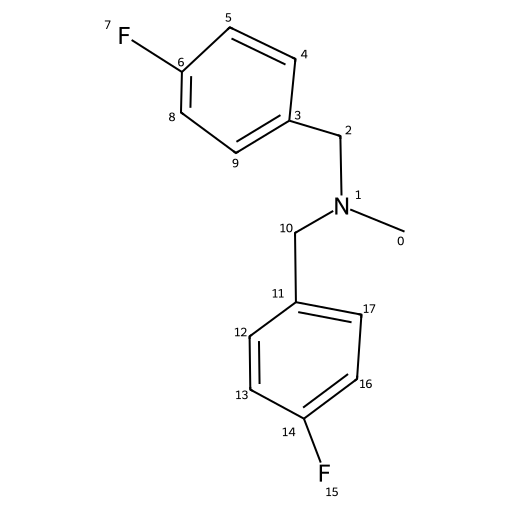 CN(Cc1ccc(F)cc1)Cc1ccc(F)cc1